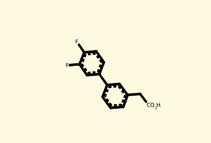 O=C(O)Cc1cccc(-c2ccc(F)c(F)c2)c1